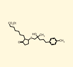 CCOC(=O)CCCCCCC1C(=O)CCC1SCC(C)(O)CCCc1ccc(C)cc1